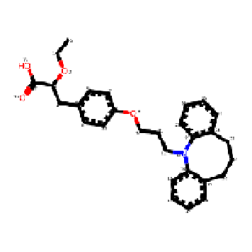 CCOC(Cc1ccc(OCCCN2c3ccccc3CCCc3ccccc32)cc1)C(=O)O